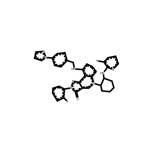 O=c1c2cn(C3CCCCC3Nc3ncccc3F)c3cccc(NCc4ccc(-n5cccn5)cc4)c3c-2nn1-c1ccccc1F